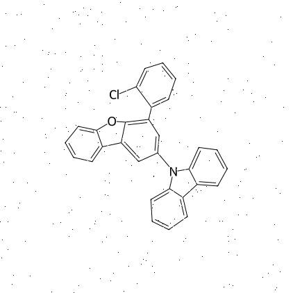 Clc1ccccc1-c1cc(-n2c3ccccc3c3ccccc32)cc2c1oc1ccccc12